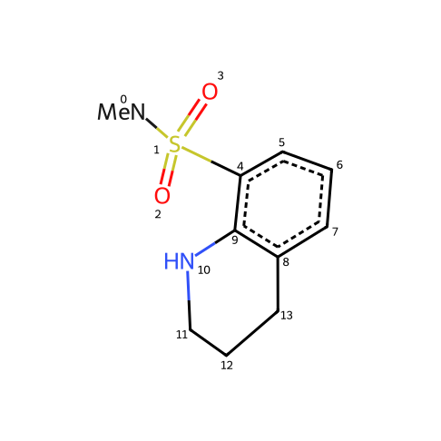 CNS(=O)(=O)c1cccc2c1NCCC2